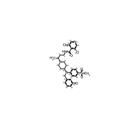 CC(CCNC(=O)c1c(Cl)cncc1Cl)N1CCC(N(Cc2cccc(Cl)c2)c2ccc(S(C)(=O)=O)cc2)CC1